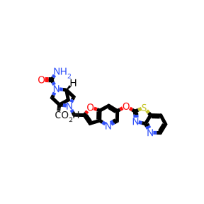 NC(=O)N1CC2(C(=O)O)C[C@H]1CN2Cc1cc2ncc(Oc3nc4ncccc4s3)cc2o1